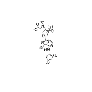 COC(=O)CN(CC1COC(c2nc(Br)c3c(NCc4ccc(OC)cc4OC)nccn23)CN1C(=O)O)C1CC1